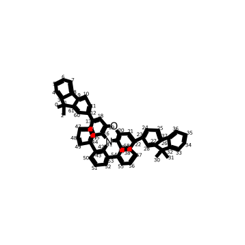 CC1(C)c2ccccc2-c2ccc(-c3ccc4c(c3)Oc3cc(-c5ccc6c(c5)C(C)(C)c5ccccc5-6)ccc3N4c3c(-c4ccccc4)cccc3-c3ccccc3)cc21